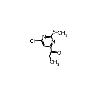 CCC(=O)c1cc(Cl)nc(SC)n1